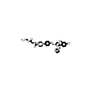 CCOC(=O)CNC(=O)N1CCN(c2ccc(OC[C@@H]3CO[C@@](Cn4ccnc4)(c4ccc(Cl)cc4Cl)O3)cc2)CC1